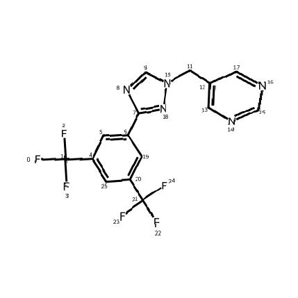 FC(F)(F)c1cc(-c2ncn(Cc3cncnc3)n2)cc(C(F)(F)F)c1